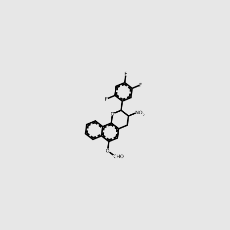 O=COc1cc2c(c3ccccc13)OC(c1cc(F)c(F)cc1F)C([N+](=O)[O-])C2